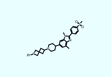 Cc1cc(C2CCN(C3CC4(C3)CN(C(C)C)C4)CC2)cc2c1nc(-c1ccc(S(C)(=O)=O)cc1)n2C